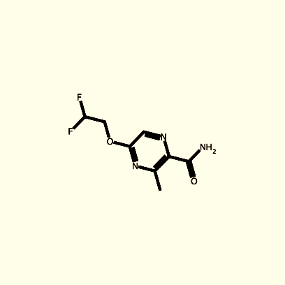 Cc1nc(OCC(F)F)cnc1C(N)=O